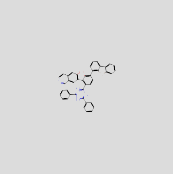 c1ccc(-c2nc(-c3ccccc3)nc(-c3ccc(-c4cccc5c4sc4ccccc45)c4oc5cc6ccncc6cc5c34)n2)cc1